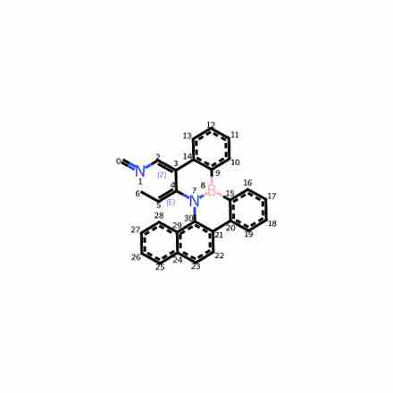 C=N/C=C1\C(=C/C)N2B(c3ccccc31)c1ccccc1-c1ccc3ccccc3c12